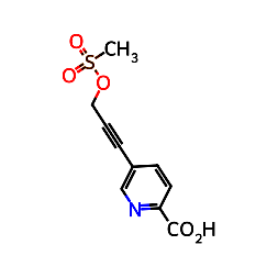 CS(=O)(=O)OCC#Cc1ccc(C(=O)O)nc1